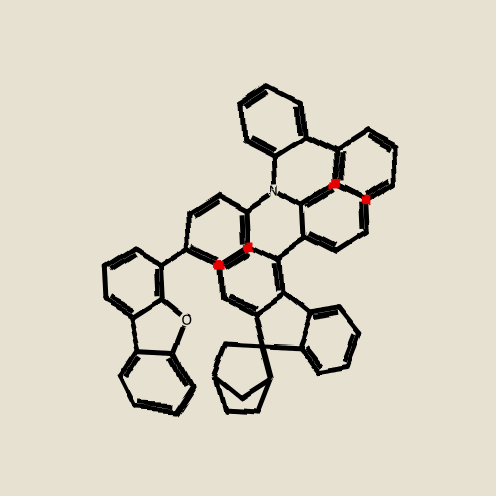 c1ccc(-c2ccccc2N(c2ccc(-c3cccc4c3oc3ccccc34)cc2)c2ccccc2-c2cccc3c2-c2ccccc2C32CC3CCC2C3)cc1